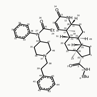 CC(C)(C)NC(=O)[C@H]1CC[C@H]2[C@@H]3CC[C@H]4NC(=O)C=C[C@]4(C)[C@H]3CC[C@]12C.CCC(=O)N(c1ccccc1)C1CCN(CCc2ccccc2)CC1